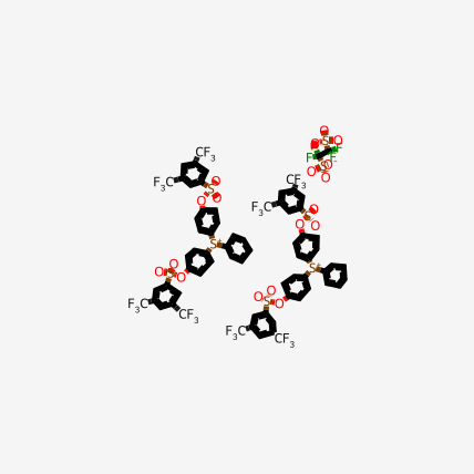 O=S(=O)(Oc1ccc([S+](c2ccccc2)c2ccc(OS(=O)(=O)c3cc(C(F)(F)F)cc(C(F)(F)F)c3)cc2)cc1)c1cc(C(F)(F)F)cc(C(F)(F)F)c1.O=S(=O)(Oc1ccc([S+](c2ccccc2)c2ccc(OS(=O)(=O)c3cc(C(F)(F)F)cc(C(F)(F)F)c3)cc2)cc1)c1cc(C(F)(F)F)cc(C(F)(F)F)c1.O=S(=O)([O-])C(F)(F)C(F)(F)S(=O)(=O)[O-]